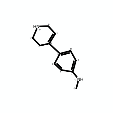 CNc1ccc(C2=CCNCC2)cc1